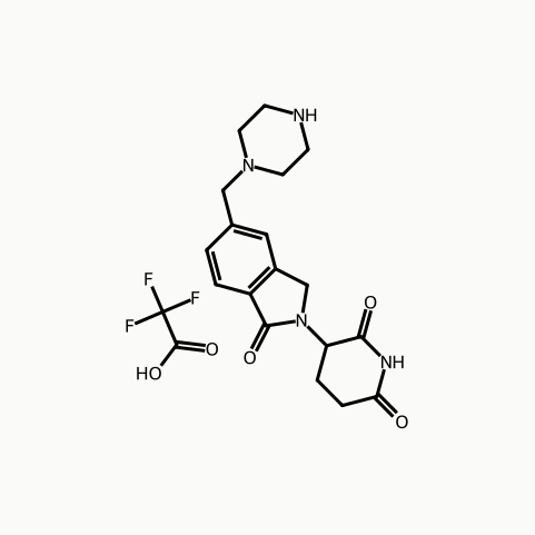 O=C(O)C(F)(F)F.O=C1CCC(N2Cc3cc(CN4CCNCC4)ccc3C2=O)C(=O)N1